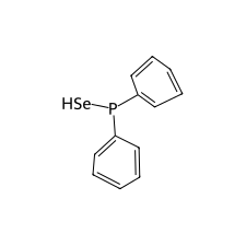 [SeH]P(c1ccccc1)c1ccccc1